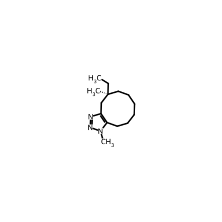 CC[C@@]1(C)CCCCCCc2c(nnn2C)C1